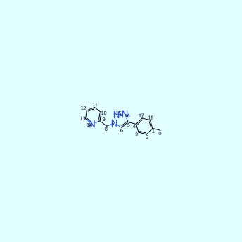 Cc1ccc(-c2cn(Cc3ccccn3)nn2)cc1